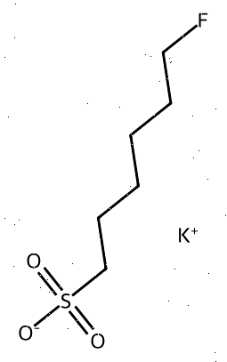 O=S(=O)([O-])CCCCCCF.[K+]